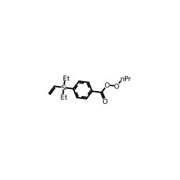 [CH2]CCOOC(=O)c1ccc([Si](C=C)(CC)CC)cc1